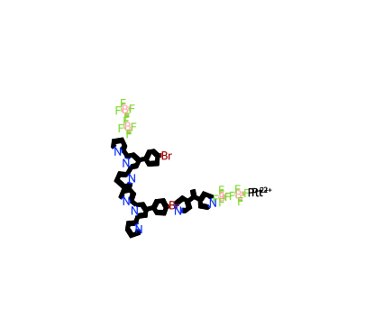 Brc1ccc(-c2cc(-c3ccccn3)nc(-c3ccccn3)c2)cc1.Brc1ccc(-c2cc(-c3ccccn3)nc(-c3ccccn3)c2)cc1.C=C(c1ccncc1)c1ccncc1.F[B-](F)(F)F.F[B-](F)(F)F.F[B-](F)(F)F.F[B-](F)(F)F.[Pt+2].[Pt+2]